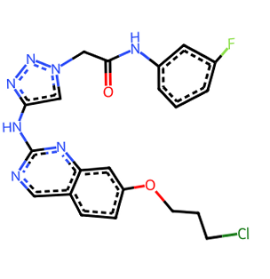 O=C(Cn1cc(Nc2ncc3ccc(OCCCCl)cc3n2)nn1)Nc1cccc(F)c1